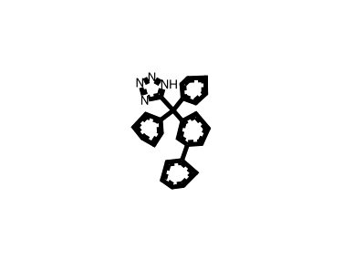 c1ccc(-c2cccc(C(c3ccccc3)(c3ccccc3)c3nnn[nH]3)c2)cc1